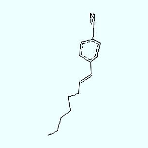 CCCCCCC=Cc1ccc(C#N)cc1